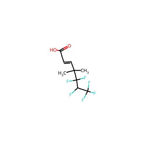 CC(C)(C=CC(=O)O)C(F)(F)C(F)C(F)(F)F